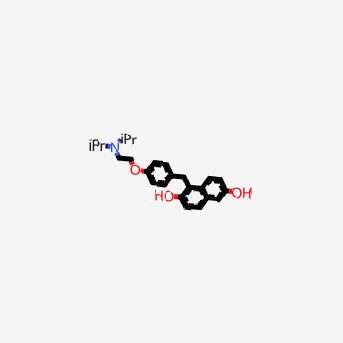 CC(C)N(CCOc1ccc(Cc2c(O)ccc3cc(O)ccc23)cc1)C(C)C